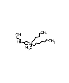 CCCCCCCC(C)(CCCCCC)N1CC(NCCO)C1